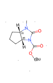 CN1C(=O)N(C(=O)OC(C)(C)C)[C@@H]2CCC[C@@H]21